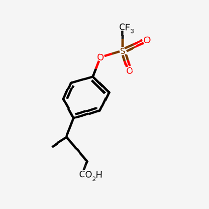 CC(CC(=O)O)c1ccc(OS(=O)(=O)C(F)(F)F)cc1